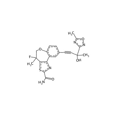 Cc1nc(C(C)(O)C#Cc2ccc3c(c2)-c2nc(C(N)=O)sc2C(C)(F)CO3)no1